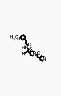 COc1cccc(CCC(=O)Nc2sc3c(c2C#N)CCN(C(=O)Cc2ccncc2)C3)c1